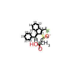 CC(=O)O.C[S+]([O-])C1=C(CF)c2ccccc2C1=Cc1ccccc1